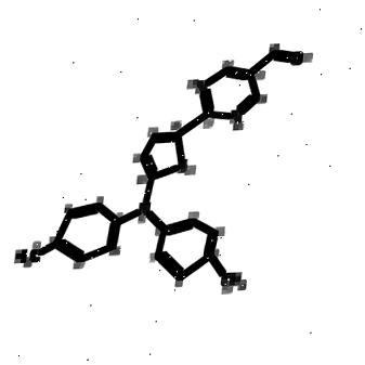 Cc1ccc(N(c2ccc(C)cc2)c2ccc(-c3ncc(C=O)cn3)s2)cc1